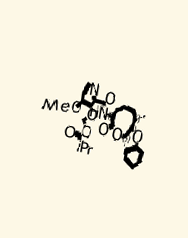 COc1ccnc(C(=O)N[C@H]2CCC[C@H](C)[C@@H](Oc3ccccc3)[C@H](C)OC2=O)c1OCOC(=O)C(C)C